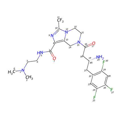 CN(C)CCNC(=O)c1nc(C(F)(F)F)n2c1CN(C(=O)C[C@H](N)Cc1cc(F)c(F)cc1F)CC2